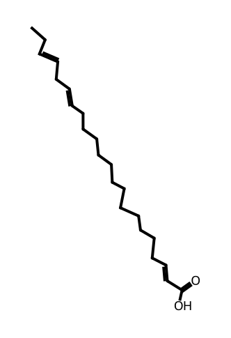 CCC=CCC=CCCCCCCCCCCCCC=CC(=O)O